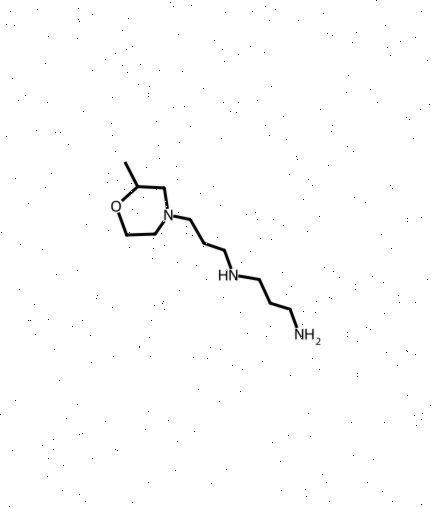 CC1CN(CCCNCCCN)CCO1